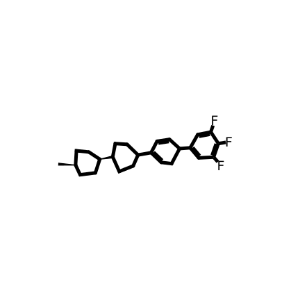 C[C@H]1CC[C@@H](C2CCC(C3=CCC(c4cc(F)c(F)c(F)c4)C=C3)CC2)CC1